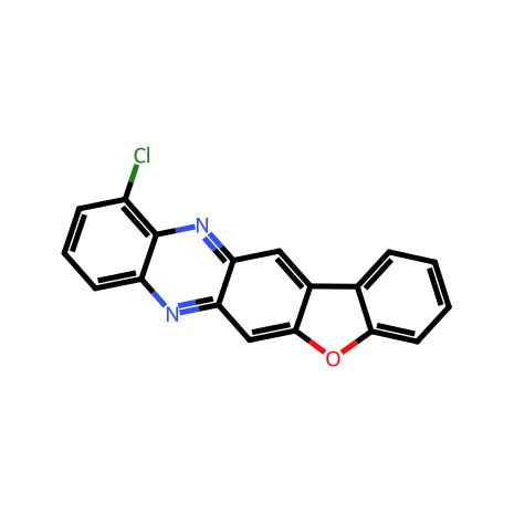 Clc1cccc2nc3cc4oc5ccccc5c4cc3nc12